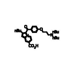 CCCCc1cc2cc(C(=O)O)ccn2c1C(=O)c1ccc(OCCCN(CCCC)CCCC)cc1